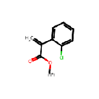 C=C(C(=O)OCCC)c1ccccc1Cl